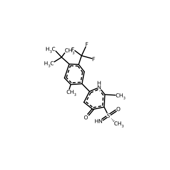 Cc1cc(C(C)(C)C)c(C(F)(F)F)cc1-c1cc(=O)c([S@](C)(=N)=O)c(C)[nH]1